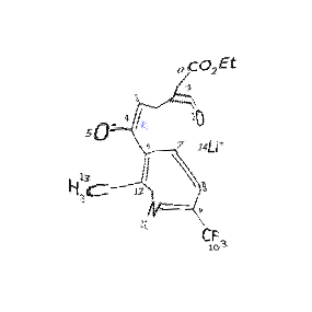 CCOC(=O)C(=O)/C=C(/[O-])c1ccc(C(F)(F)F)nc1C.[Li+]